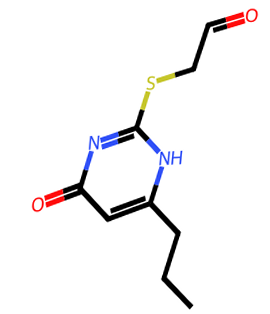 CCCc1cc(=O)nc(SCC=O)[nH]1